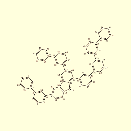 c1ccc(-c2cccc(-c3ccc4sc5c(-c6cccc(-c7cccc(-c8cc(-c9ccccc9)ncn8)c7)c6)cc(-c6cccc(-c7ccccc7)c6)cc5c4c3)c2)cc1